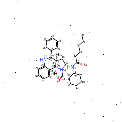 CCCCCC(=O)N[C@@H]1CCCC[C@@H]1C(=O)N1CC[C@@H]2[C@H](C3C=CC=CC3)Nc3ccccc3[C@@H]21